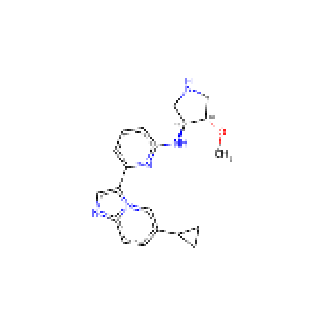 CO[C@H]1CNC[C@@H]1Nc1cccc(-c2cnc3ccc(C4CC4)cn23)n1